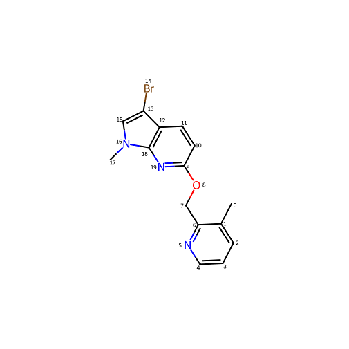 Cc1cccnc1COc1ccc2c(Br)cn(C)c2n1